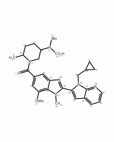 COc1cc(C(=O)N2CC(N(C(=O)O)C(C)(C)C)CCC2C)cc2nc(-c3cc4cccnc4n3CC3CC3)n(C)c12